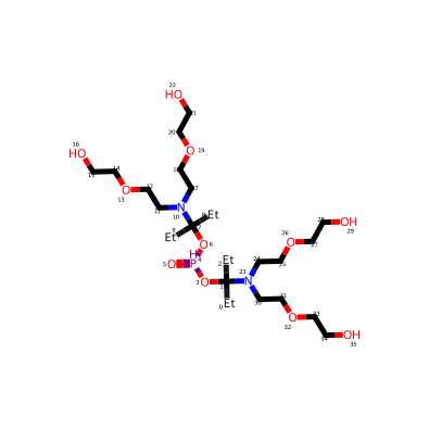 CCC(CC)(O[PH](=O)OC(CC)(CC)N(CCOCCO)CCOCCO)N(CCOCCO)CCOCCO